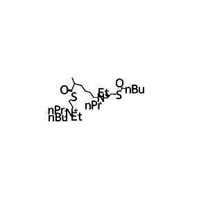 CCCCC(=O)SCC[N+](CC)(CCC)CCCCC(C)C(=O)SCC[N+](CC)(CCC)CCCC